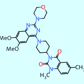 COc1cc2nc(N3CCOCC3)nc(N3CCC(n4c(=O)c5cc(C)ccc5n(C)c4=O)CC3)c2cc1OC